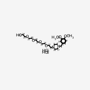 COc1ccc(CN2CCN(CCOCCOCCOCCOCCO)CC2)cc1OC.Cl.Cl